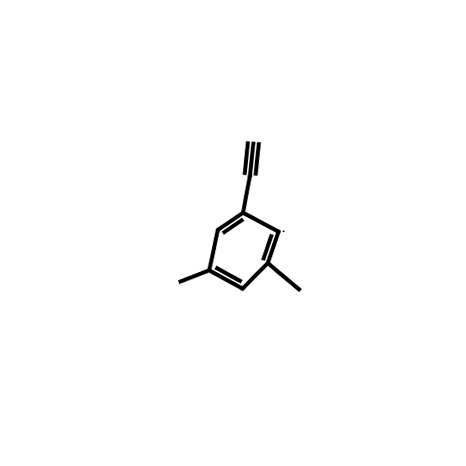 C#Cc1[c]c(C)cc(C)c1